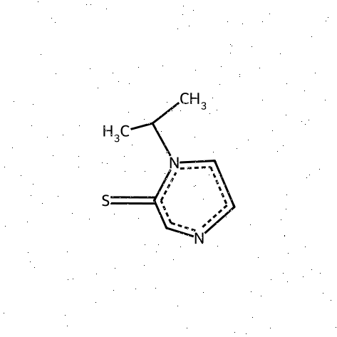 CC(C)n1ccncc1=S